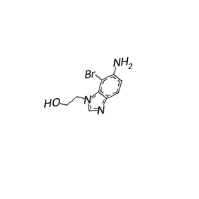 Nc1ccc2ncn(CCO)c2c1Br